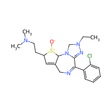 CCN1CN2C(=N1)C(c1ccccc1Cl)=NCC1=CC(CCN(C)C)[S+]([O-])C12